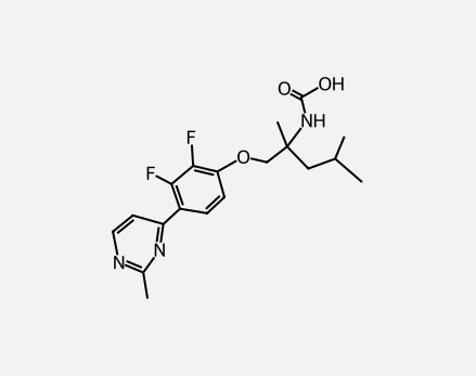 Cc1nccc(-c2ccc(OCC(C)(CC(C)C)NC(=O)O)c(F)c2F)n1